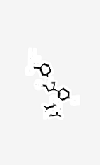 Cc1cnc(C)c(Oc2cc(Cl)ccc2C2CC(=O)N(c3cccc(C(N)=O)c3)C2)n1